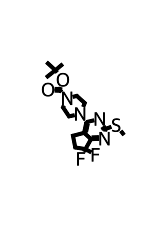 CSc1nc(N2CCN(C(=O)OC(C)(C)C)CC2)c2c(n1)C(F)(F)CC2